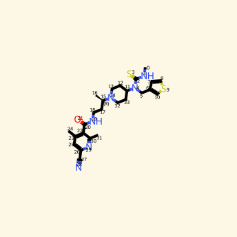 CNC(=S)N(Cc1ccsc1)C1CCN([C@H](C)CCNC(=O)c2c(C)cc(C#N)nc2C)CC1